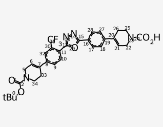 CC(C)(C)OC(=O)N1CC=C(c2ccc(-c3nnc(-c4ccc(C5=CCN(C(=O)O)CC5)cc4)o3)c(C(F)(F)F)c2)CC1